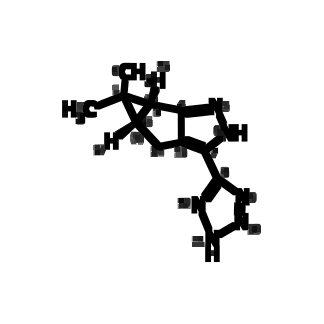 CC1(C)[C@@H]2c3n[nH]c(-c4nn[nH]n4)c3C[C@@H]21